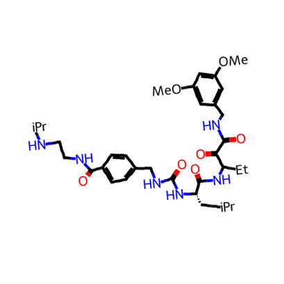 CCC(NC(=O)[C@H](CC(C)C)NC(=O)NCc1ccc(C(=O)NCCNC(C)C)cc1)C(=O)C(=O)NCc1cc(OC)cc(OC)c1